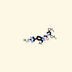 CC(=O)c1nn(CC(=O)N2CC(C)CC2C)c2ccc(-c3cnc(C)nc3)cc12